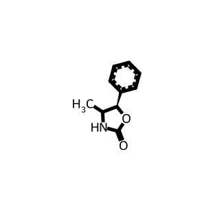 CC1NC(=O)O[C@@H]1c1ccccc1